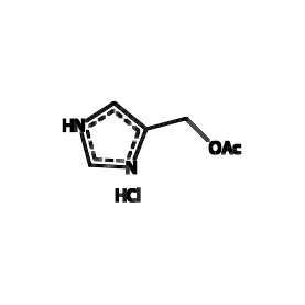 CC(=O)OCc1c[nH]cn1.Cl